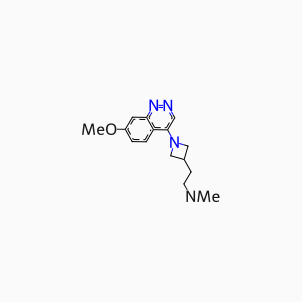 CNCCC1CN(c2cnnc3cc(OC)ccc23)C1